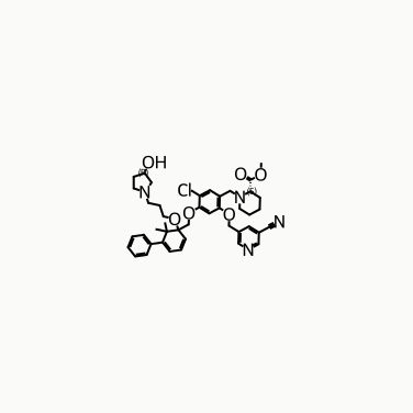 COC(=O)[C@@H]1CCCCN1Cc1cc(Cl)c(OCC2(OCCCN3CC[C@@H](O)C3)C=CC=C(c3ccccc3)C2(C)C)cc1OCc1cncc(C#N)c1